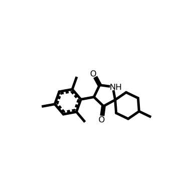 Cc1cc(C)c(C2C(=O)NC3(CCC(C)CC3)C2=O)c(C)c1